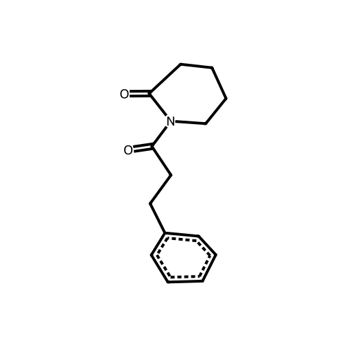 O=C1CCCCN1C(=O)CCc1ccccc1